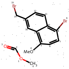 COC=O.COc1ccc(Br)c2ccc(CBr)cc12